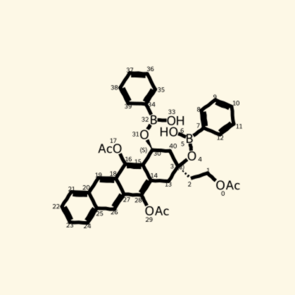 CC(=O)OCC[C@]1(OB(O)c2ccccc2)Cc2c(c(OC(C)=O)c3cc4ccccc4cc3c2OC(C)=O)[C@@H](OB(O)c2ccccc2)C1